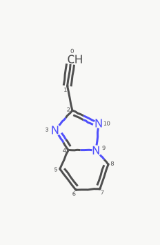 C#Cc1nc2ccccn2n1